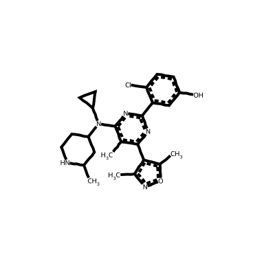 Cc1noc(C)c1-c1nc(-c2cc(O)ccc2Cl)nc(N(C2CC2)C2CCNC(C)C2)c1C